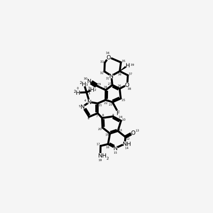 [2H]C([2H])([2H])n1ncc(-c2ccc3c(=O)[nH]nc(CN)c3c2)c1-c1c(F)cc2c(c1C#N)N1CCOC[C@@H]1CO2